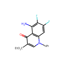 CCCn1cc(C(=O)OCC)c(=O)c2c(N)c(F)c(F)cc21